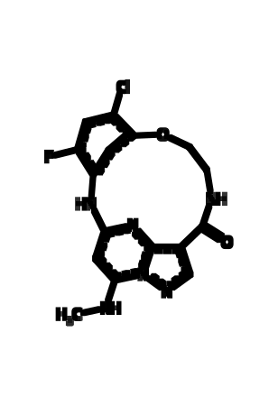 CNc1cc2nc3c(cnn13)C(=O)NCCOc1cc(c(F)cc1Cl)N2